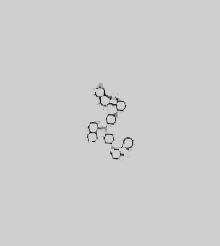 c1ccc2c(N(c3ccc(-c4cccc5oc6ccccc6c45)cc3)c3ccc(-c4cccc5oc6c7ccccc7ccc6c45)cc3)cccc2c1